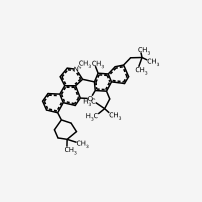 Cc1c2c(c(CC(C)(C)C)c3ccc(CC(C)(C)C)cc13)Oc1cc3c(C4CCC(C)(C)CC4)cccc3c3cc[n+](C)c-2c13